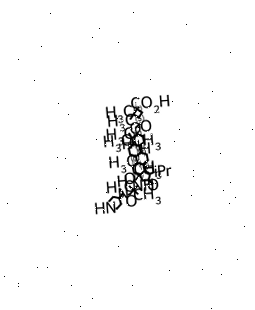 CC(C)C1=C2[C@H]3CC[C@@H]4[C@@]5(C)CC[C@H](OC(=O)[C@H]6C[C@@H](C(=O)O)C6(C)C)C(C)(C)[C@@H]5CC[C@@]4(C)[C@]3(C)CC[C@@]2(C(=O)NC(C)(C)C(=O)NC2CCNCC2)CC1=O